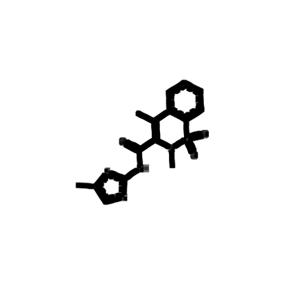 CC1=C(C(=O)Nc2ncc(C)s2)N(C)S(=O)(=O)c2ccccc21